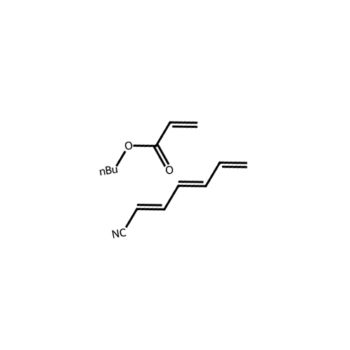 C=CC(=O)OCCCC.C=CC=CC=CC#N